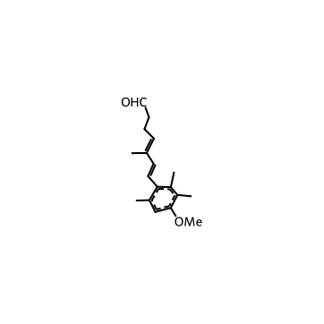 COc1cc(C)c(/C=C/C(C)=C/CCC=O)c(C)c1C